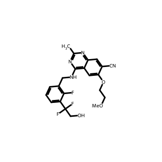 COCCOc1cc2c(NCc3cccc(C(F)(F)CO)c3F)nc(C)nc2cc1C#N